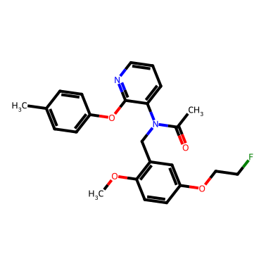 COc1ccc(OCCF)cc1CN(C(C)=O)c1cccnc1Oc1ccc(C)cc1